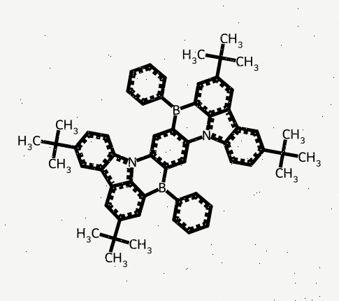 CC(C)(C)c1ccc2c(c1)c1cc(C(C)(C)C)cc3c1n2-c1cc2c(cc1B3c1ccccc1)-n1c3ccc(C(C)(C)C)cc3c3cc(C(C)(C)C)cc(c31)B2c1ccccc1